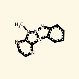 Cn1c2nccnc2n2c3ccccc3n[n+]12